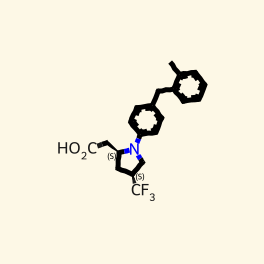 Cc1ccccc1Cc1ccc(N2C[C@@H](C(F)(F)F)C[C@H]2CC(=O)O)cc1